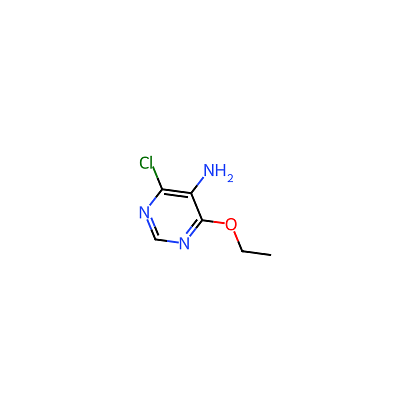 CCOc1ncnc(Cl)c1N